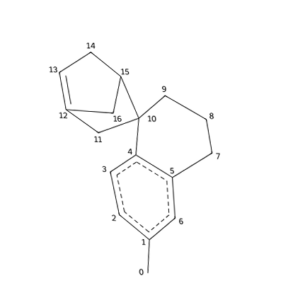 Cc1ccc2c(c1)CCCC21CC2=CCC1C2